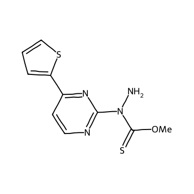 COC(=S)N(N)c1nccc(-c2cccs2)n1